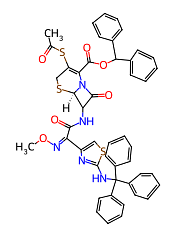 CO/N=C(\C(=O)NC1C(=O)N2C(C(=O)OC(c3ccccc3)c3ccccc3)=C(SC(C)=O)CS[C@H]12)c1csc(NC(c2ccccc2)(c2ccccc2)c2ccccc2)n1